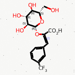 O=C(O)/C(=C/c1cccc(C(F)(F)F)c1)O[C@H]1O[C@@H](CO)[C@H](O)[C@@H](O)[C@@H]1O